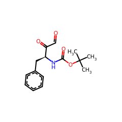 CC(C)(C)OC(=O)N[C@@H](Cc1ccccc1)C(=O)C=O